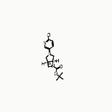 CC(C)(C)OC(=O)N1C[C@@H]2CN(c3ccc(Cl)nc3)C[C@@H]21